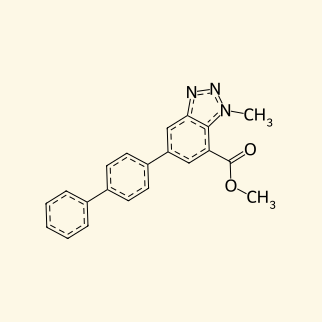 COC(=O)c1cc(-c2ccc(-c3ccccc3)cc2)cc2nnn(C)c12